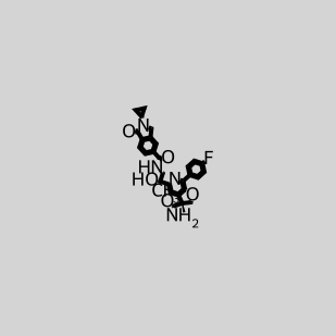 C[C@]1(C(N)=O)COc2c1cc(C(O)(CNC(=O)c1ccc3c(c1)CN(C1CC1)C3=O)C(F)(F)F)nc2-c1ccc(F)cc1